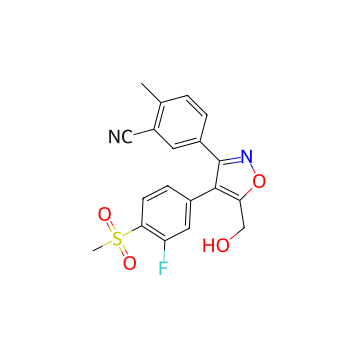 Cc1ccc(-c2noc(CO)c2-c2ccc(S(C)(=O)=O)c(F)c2)cc1C#N